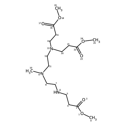 COC(=O)CCNCCN(C)CCN(CCC(=O)OC)CCC(=O)OC